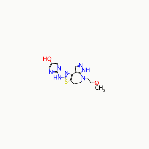 COCCN1CCc2sc(Nc3ncc(O)cn3)nc2-c2cn[nH]c21